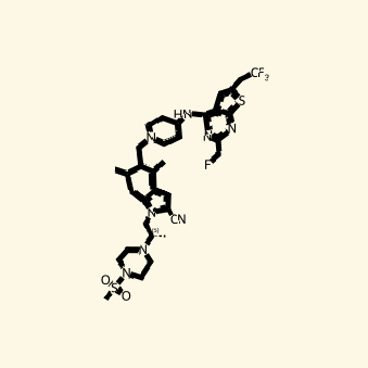 CC1=c2cc(C#N)n(C[C@H](C)N3CCN(S(C)(=O)=O)CC3)c2=CC(C)C1CN1CCC(Nc2nc(CF)nc3sc(CC(F)(F)F)cc23)CC1